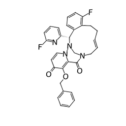 O=C1c2c(OCc3ccccc3)c(=O)ccn2N2CN1C/C=C/CCc1c(F)cccc1[C@H]2c1cccc(F)n1